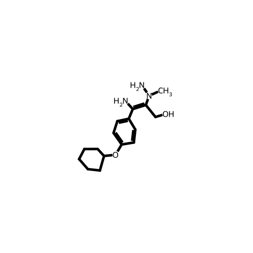 CN(N)/C(CO)=C(\N)c1ccc(OC2CCCCC2)cc1